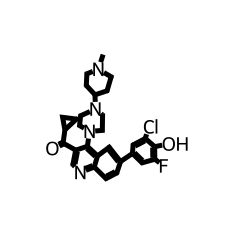 CN1CCC(N2CCN(c3c(C(=O)C4CC4)cnc4ccc(-c5cc(F)c(O)c(Cl)c5)cc34)CC2)CC1